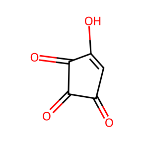 O=c1cc(O)c(=O)c1=O